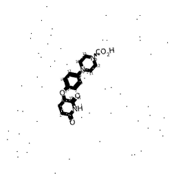 O=C1CCC(Oc2ccc(N3CCN(C(=O)O)CC3)cc2)C(=O)N1